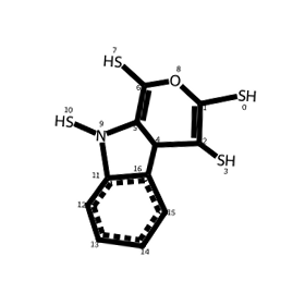 SC1=C(S)C2C(=C(S)O1)N(S)c1ccccc12